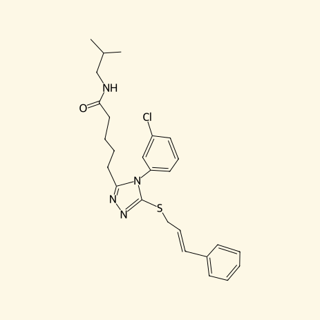 CC(C)CNC(=O)CCCCc1nnc(SCC=Cc2ccccc2)n1-c1cccc(Cl)c1